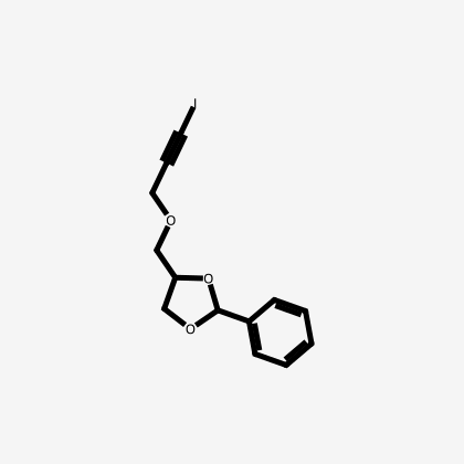 IC#CCOCC1COC(c2ccccc2)O1